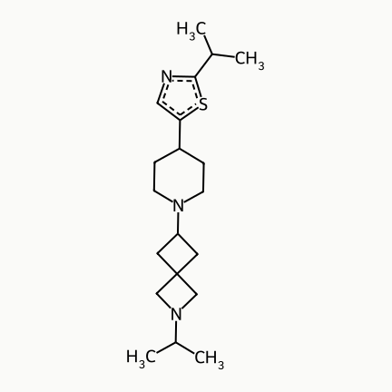 CC(C)c1ncc(C2CCN(C3CC4(C3)CN(C(C)C)C4)CC2)s1